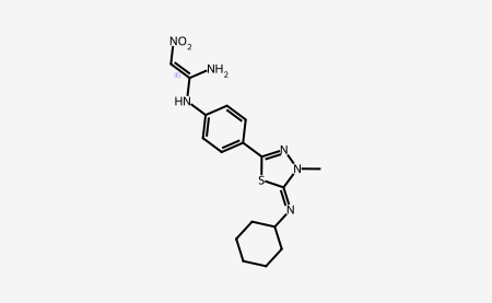 Cn1nc(-c2ccc(N/C(N)=C/[N+](=O)[O-])cc2)sc1=NC1CCCCC1